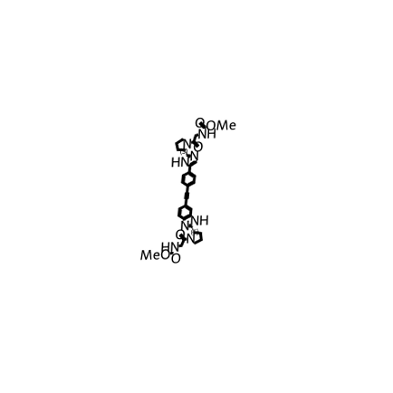 COC(=O)NCC(=O)N1CCC[C@H]1c1ncc(-c2ccc(C#Cc3ccc4nc([C@@H]5CCCN5C(=O)CNC(=O)OC)[nH]c4c3)cc2)[nH]1